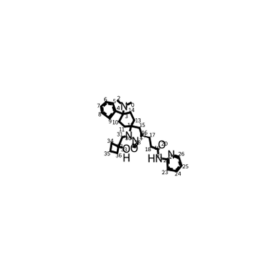 CN(C)C1(c2ccccc2)CCC2(CC1)C[C@@H](CCC(=O)Nc1ccccn1)[N+](=O)N2CC1(O)CCC1